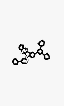 c1ccc(-c2cc(-c3ccccc3)cc(-c3ccc4c(c3)c3nc5ccccc5nc3n4-c3cc(-c4ccccc4)ccn3)c2)cc1